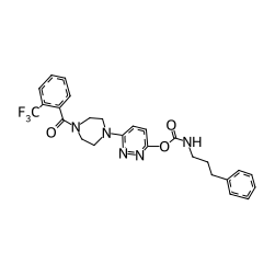 O=C(NCCCc1ccccc1)Oc1ccc(N2CCN(C(=O)c3ccccc3C(F)(F)F)CC2)nn1